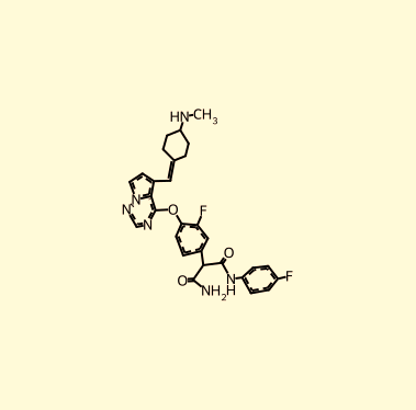 CNC1CCC(=Cc2ccn3ncnc(Oc4ccc(C(C(N)=O)C(=O)Nc5ccc(F)cc5)cc4F)c23)CC1